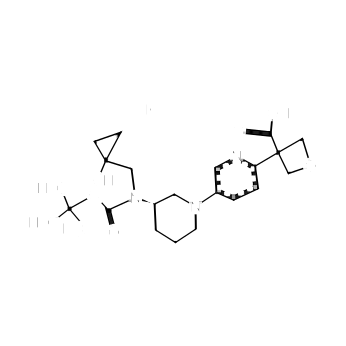 CC1(CN(C(=O)OC(C)(C)C)[C@@H]2CCCN(c3ccc(C4(C(=O)O)COC4)nc3)C2)CC1.Cl